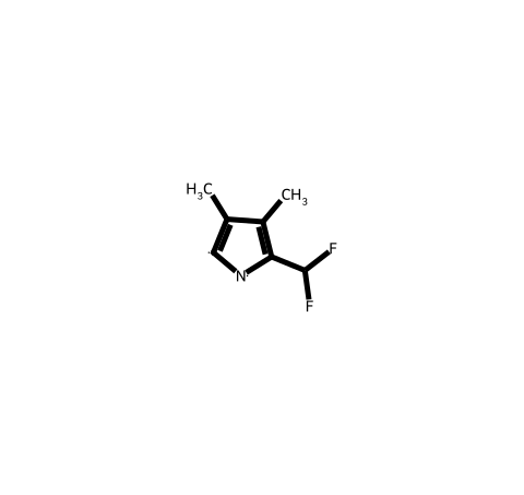 CC1=[C][N]C(C(F)F)=C1C